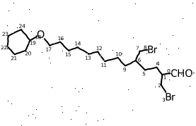 O=[C]C(CBr)CCC(CBr)CCCCCCCCCOC1CC[CH]CC1